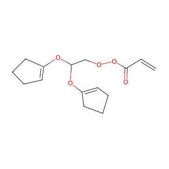 C=CC(=O)OOCC(OC1=CCCC1)OC1=CCCC1